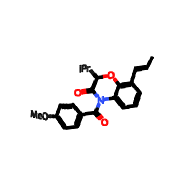 CC=Cc1cccc2c1OC(C(C)C)C(=O)N2C(=O)c1ccc(OC)cc1